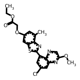 CCOC(=O)COc1cc(C)c2nc(-c3cc(Cl)cc4nc(OC)cnc34)sc2c1